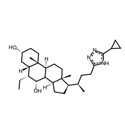 CC[C@H]1[C@@H](O)C2[C@@H]3CC[C@H]([C@H](C)CCc4nnc(C5CC5)[nH]4)[C@@]3(C)CC[C@@H]2[C@@]2(C)CC[C@@H](O)C[C@@H]12